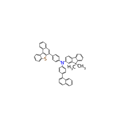 CC1(C)c2ccccc2-c2ccc(N(c3ccc(-c4cccc5ccccc45)cc3)c3ccc(-c4cc5ccccc5c5c4sc4ccccc45)cc3)cc21